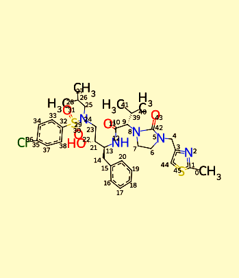 Cc1nc(CN2CCN([C@H](C(=O)N[C@@H](Cc3ccccc3)[C@H](O)CN(CC(C)C)S(=O)(=O)c3ccc(Cl)cc3)C(C)C)C2=O)cs1